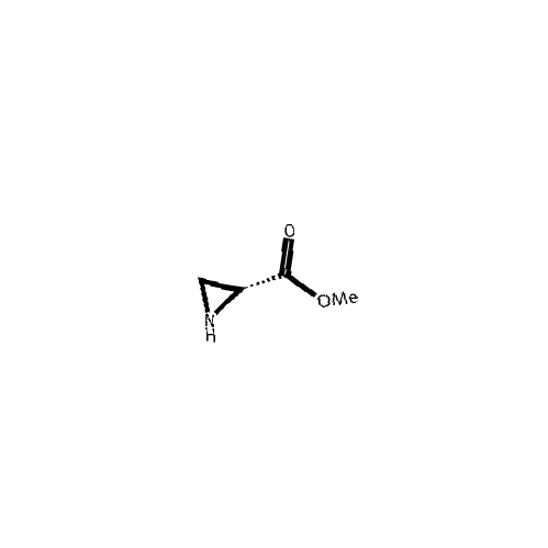 COC(=O)[C@H]1CN1